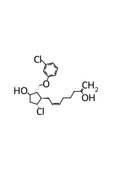 C=C(O)CCC/C=C\C[C@@H]1[C@@H](COc2cccc(Cl)c2)[C@H](O)C[C@H]1Cl